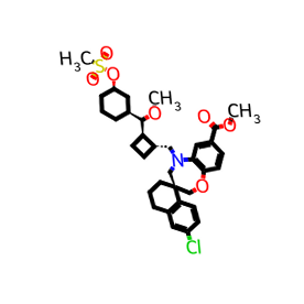 COC(=O)c1ccc2c(c1)N(C[C@@H]1CC[C@H]1C(OC)[C@H]1CCC[C@@H](OS(C)(=O)=O)C1)C[C@@]1(CCCc3cc(Cl)ccc31)CO2